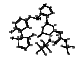 C[C@H]1CN(c2ccncc2NCc2ccc(F)c(-c3c(F)cccc3F)n2)C[C@@H](NC(=O)OC(C)(C)C)[C@@H]1O[Si](C)(C)C(C)(C)C